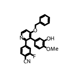 COc1ccc(-c2c(OCc3ccccc3)ccnc2-c2ccc(C#N)c(F)c2)cc1O